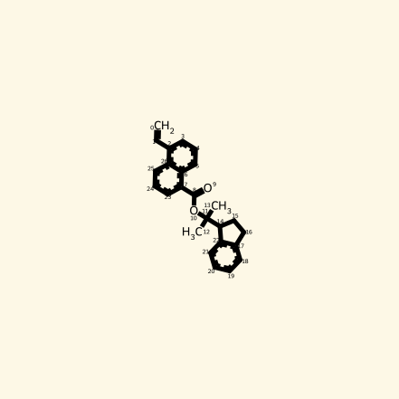 C=Cc1cccc2c(C(=O)OC(C)(C)C3CCc4ccccc43)cccc12